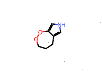 c1[nH]cc2c1CCCOO2